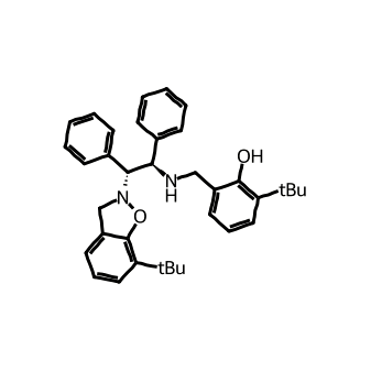 CC(C)(C)c1cccc(CN[C@H](c2ccccc2)[C@@H](c2ccccc2)N2Cc3cccc(C(C)(C)C)c3O2)c1O